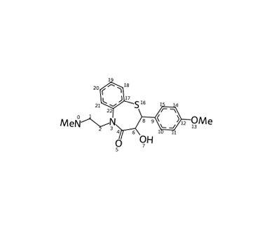 CNCCN1C(=O)C(O)C(c2ccc(OC)cc2)Sc2ccccc21